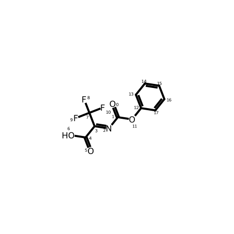 O=C(N=C(C(=O)O)C(F)(F)F)Oc1ccccc1